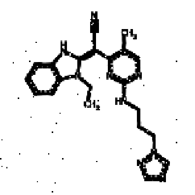 CCN1C(=C(C#N)c2nc(NCCCn3cncn3)ncc2C)Nc2ccccc21